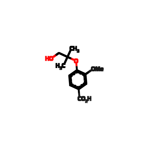 COc1cc(C(=O)O)ccc1OC(C)(C)CO